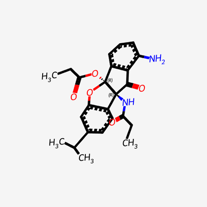 CCC(=O)N[C@]12C(=O)c3c(N)cccc3[C@]1(OC(=O)CC)Oc1cc(C(C)C)ccc12